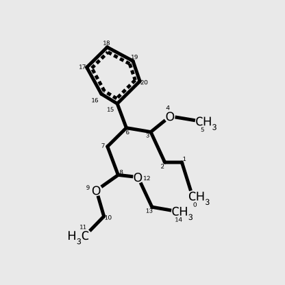 CCCC(OC)C(CC(OCC)OCC)c1ccccc1